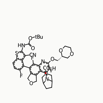 CC(C)(C)OC(=O)Nc1sc2ccc(F)c(-c3c4c(c5c(N6C7CCC6CN(C(=O)O)C7)nc(OC[C@H]6COCCO6)nc5c3F)COC4)c2c1C#N